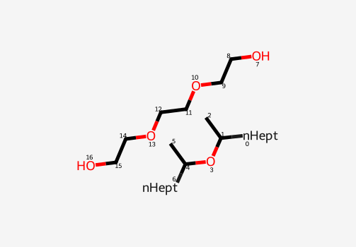 CCCCCCCC(C)OC(C)CCCCCCC.OCCOCCOCCO